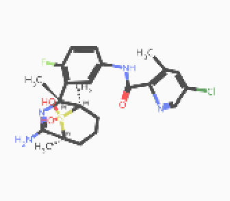 Cc1cc(Cl)cnc1C(=O)Nc1ccc(F)c([C@@]2(C)N=C(N)[C@]3(C)CCC[C@@]2(C)S3(O)O)c1